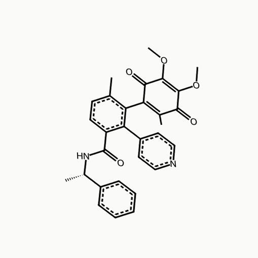 COC1=C(OC)C(=O)C(c2c(C)ccc(C(=O)N[C@@H](C)c3ccccc3)c2-c2ccncc2)=C(C)C1=O